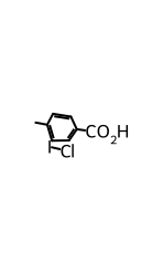 Cc1ccc(C(=O)O)cc1.ClI